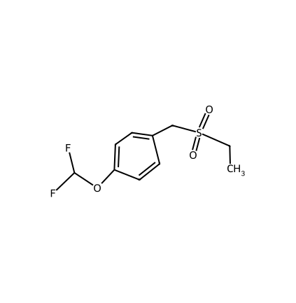 CCS(=O)(=O)Cc1ccc(OC(F)F)cc1